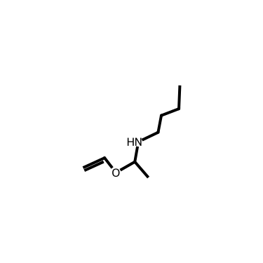 C=COC(C)NCCCC